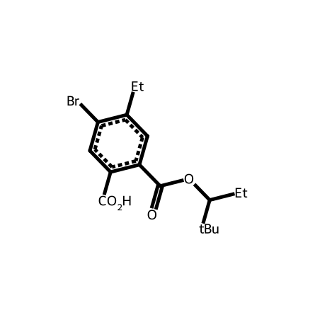 CCc1cc(C(=O)OC(CC)C(C)(C)C)c(C(=O)O)cc1Br